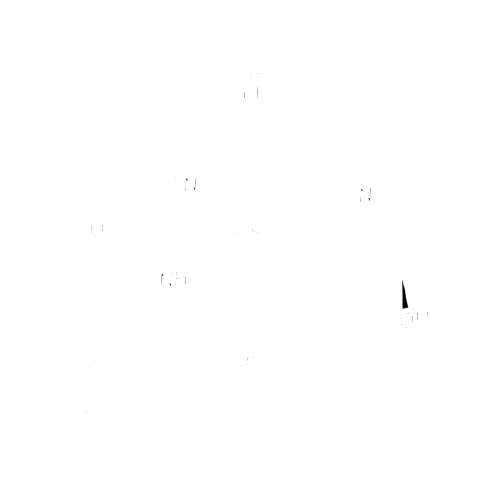 O=C(Nc1ncc(C(c2ccccc2Cl)N2CC[C@@H](O)C2)s1)C1(c2cccc(F)c2)CC1